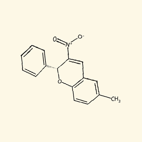 Cc1ccc2c(c1)C=C([N+](=O)[O-])[C@@H](c1ccccc1)O2